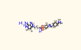 Cc1nc(N)c2ncn(CCCCNS(=O)(=O)c3ccc(N=Nc4ccc(N(C)C)cc4)cc3)c2c1C